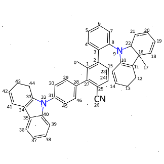 Cc1c(-c2ccccc2N2C3=C(CCC=C3)C3(C)C=CC=CC23)ccc(C#N)c1-c1ccc(-n2c3c(c4ccccc42)C=CCC3)cc1